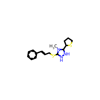 CN1C(SC/C=C/c2ccccc2)NNC1C1CCCS1